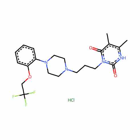 Cc1[nH]c(=O)n(CCCN2CCN(c3ccccc3OCC(F)(F)F)CC2)c(=O)c1C.Cl